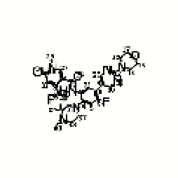 CC1CN(c2cc(F)c(-c3cnc(N4CCOCC4)nc3)cc2NC(=O)c2cn(C)c(=O)cc2C(F)F)CCN1C